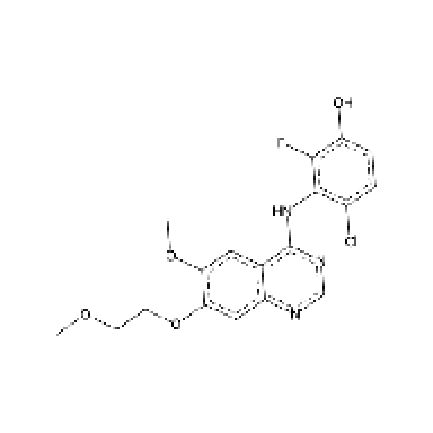 COCCOc1cc2ncnc(Nc3c(Cl)ccc(O)c3F)c2cc1OC